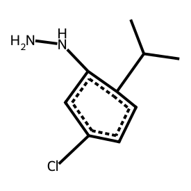 CC(C)c1ccc(Cl)cc1NN